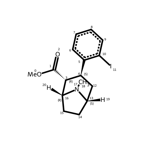 COC(=O)[C@@H]1[C@@H](c2ccccc2I)C[C@@H]2CC[C@H]1N2C